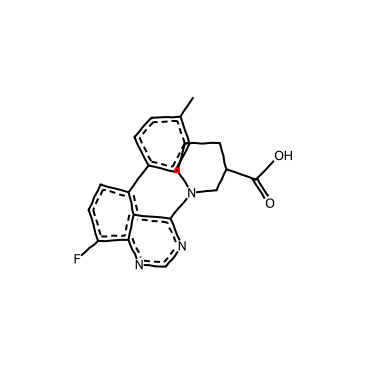 Cc1ccc(-c2ccc(F)c3ncnc(N4CCCC(C(=O)O)C4)c23)cc1